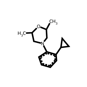 CC1CN(c2ccccc2C2CC2)CC(C)O1